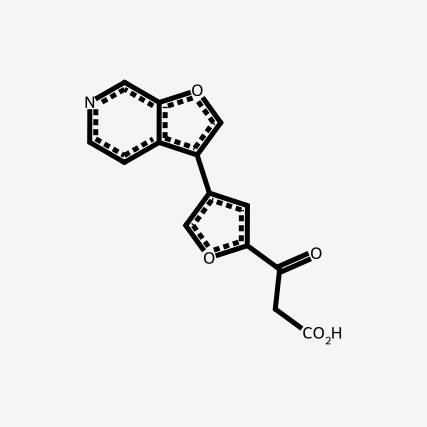 O=C(O)CC(=O)c1cc(-c2coc3cnccc23)co1